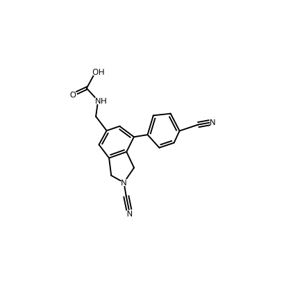 N#Cc1ccc(-c2cc(CNC(=O)O)cc3c2CN(C#N)C3)cc1